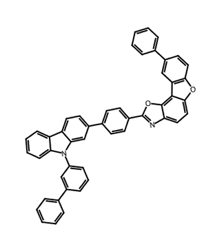 c1ccc(-c2cccc(-n3c4ccccc4c4ccc(-c5ccc(-c6nc7ccc8oc9ccc(-c%10ccccc%10)cc9c8c7o6)cc5)cc43)c2)cc1